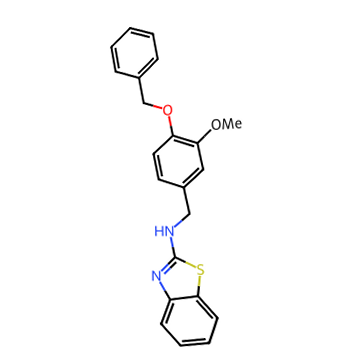 COc1cc(CNc2nc3ccccc3s2)ccc1OCc1ccccc1